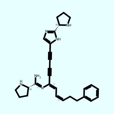 N\C(=N/C(C#CC#Cc1cnc([C@@H]2CCCN2)[nH]1)=C\C=C/CCc1ccccc1)[C@@H]1CCCN1